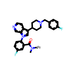 CC(C)N(C)C(=O)c1cc(F)ccc1-n1cc(C2CCN(Cc3ccc(F)cc3)CC2)c2ccncc21